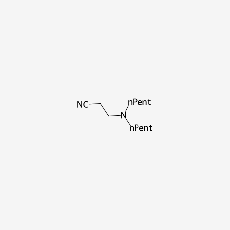 CCCCCN(CCC#N)CCCCC